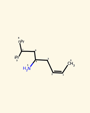 C/C=C\CC(N)CC(CCC)C(C)C